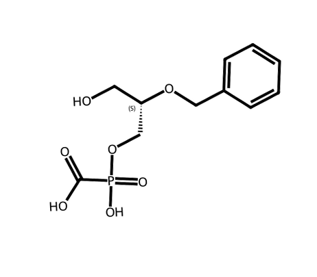 O=C(O)P(=O)(O)OC[C@H](CO)OCc1ccccc1